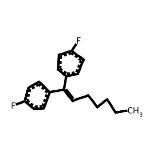 CCCCCC=C(c1ccc(F)cc1)c1ccc(F)cc1